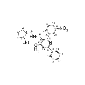 CCN1CCCC1CNCc1c(C)nc(-c2ccccc2)nc1-c1cccc([N+](=O)[O-])c1